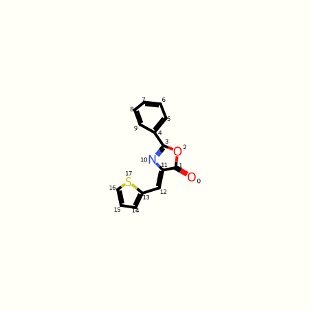 O=C1OC(c2ccccc2)=NC1=Cc1cccs1